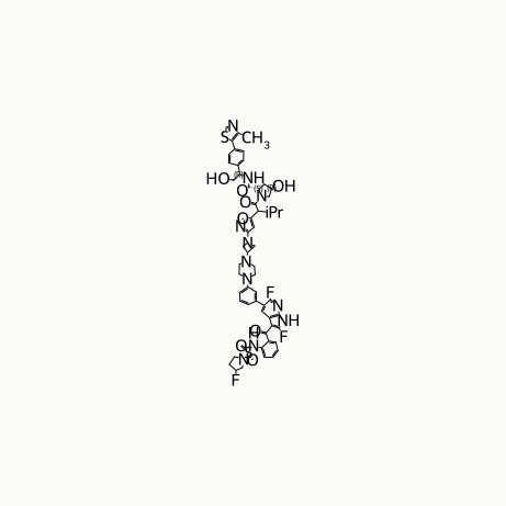 Cc1ncsc1-c1ccc([C@H](CO)NC(=O)[C@@H]2C[C@@H](O)CN2C(=O)C(c2cc(N3CC(N4CCN(c5cccc(-c6cc7c(C(=O)c8ccccc8NS(=O)(=O)N8CCC(F)C8)c(F)[nH]c7nc6F)c5)CC4)C3)no2)C(C)C)cc1